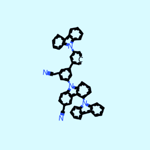 N#Cc1cc(-c2cccc(-n3c4ccccc4c4ccccc43)c2)cc(-n2c3ccc(C#N)cc3c3c(-n4c5ccccc5c5ccccc54)cccc32)c1